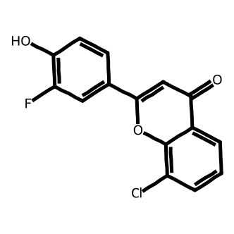 O=c1cc(-c2ccc(O)c(F)c2)oc2c(Cl)cccc12